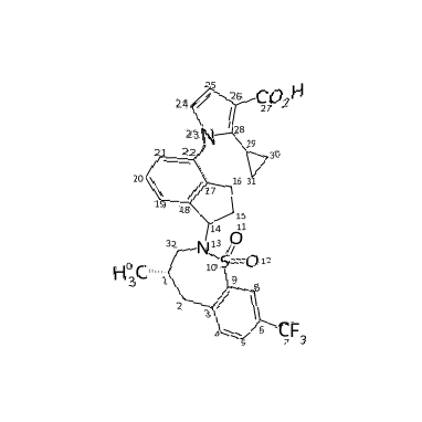 C[C@H]1Cc2ccc(C(F)(F)F)cc2S(=O)(=O)N(C2CCc3c2cccc3-n2ccc(C(=O)O)c2C2CC2)C1